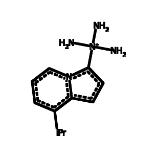 CC(C)c1cccn2c([N+](N)(N)N)ccc12